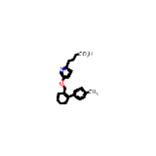 Cc1ccc(C2=C(COc3ccc(CCCC(=O)O)nc3)CCCC2)cc1